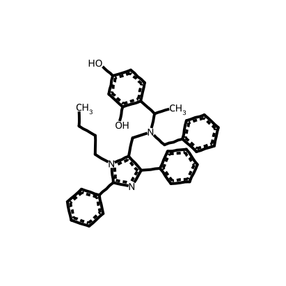 CCCCn1c(-c2ccccc2)nc(-c2ccccc2)c1CN(Cc1ccccc1)C(C)c1ccc(O)cc1O